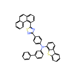 c1ccc(-c2cccc(N(c3ccc(-c4nsc(-c5cccc6ccc7ccccc7c56)n4)cc3)c3cccc4c3sc3ccccc34)c2)cc1